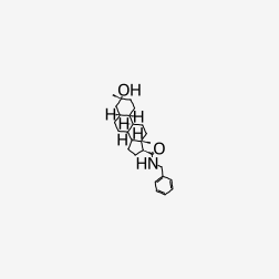 C[C@@]1(O)CC[C@H]2[C@H](CC[C@@H]3[C@@H]2CC[C@]2(C)[C@@H](C(=O)NCc4ccccc4)CC[C@@H]32)C1